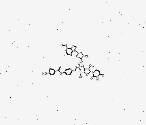 COC1C(O[P@](=O)(OC[C@H]2O[C@@H](n3cnc4c(N=O)ncnc43)C[C@H]2O)SCc2ccc(OC(=O)c3ccc(O)cc3)cc2)[C@@H](CO)O[C@H]1n1ccc(=O)[nH]c1=O